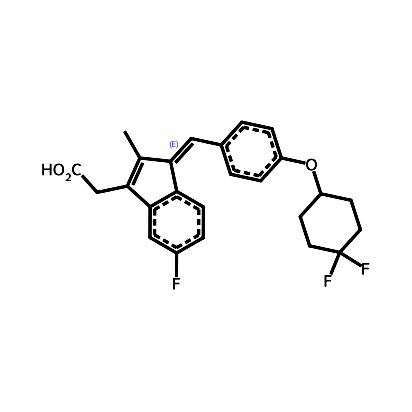 CC1=C(CC(=O)O)c2cc(F)ccc2/C1=C\c1ccc(OC2CCC(F)(F)CC2)cc1